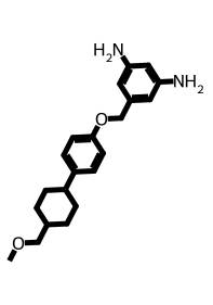 COCC1CCC(c2ccc(OCc3cc(N)cc(N)c3)cc2)CC1